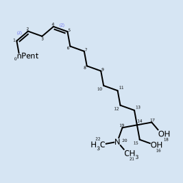 CCCCC/C=C\C/C=C\CCCCCCCCC(CO)(CO)CN(C)C